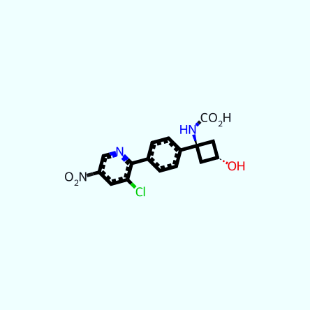 O=C(O)N[C@]1(c2ccc(-c3ncc([N+](=O)[O-])cc3Cl)cc2)C[C@@H](O)C1